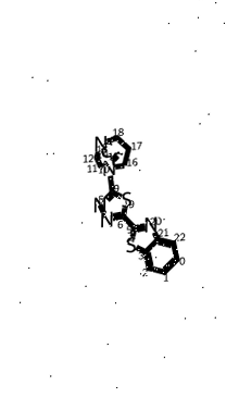 c1ccc2sc(-c3nnc(N4CCN5CCC4CC5)s3)nc2c1